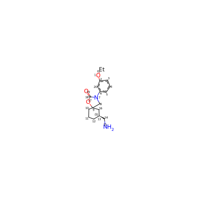 CCOc1cccc(N2CC3(CCC[C@H](CN)C3)OC2=O)c1